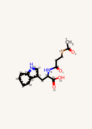 CC(=O)SCCC(=O)NC(Cc1c[nH]c2ccccc12)C(=O)O